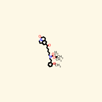 COc1ccccc1CCN(CCCCCC(=O)c1cc2c3c(c1)CCN3C(=O)CC2)C(=O)OC(C)(C)C